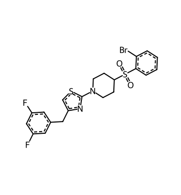 O=S(=O)(c1ccccc1Br)C1CCN(c2nc(Cc3cc(F)cc(F)c3)cs2)CC1